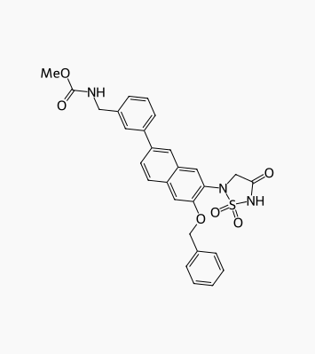 COC(=O)NCc1cccc(-c2ccc3cc(OCc4ccccc4)c(N4CC(=O)NS4(=O)=O)cc3c2)c1